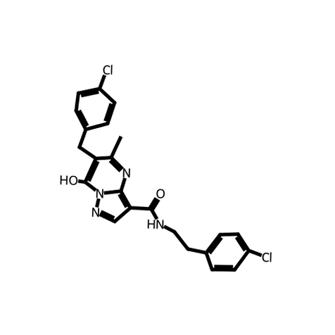 Cc1nc2c(C(=O)NCCc3ccc(Cl)cc3)cnn2c(O)c1Cc1ccc(Cl)cc1